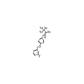 [2H]C([2H])([2H])[C@H](NCc1ccc(OCc2cccc(F)c2)cc1)C(C)=O